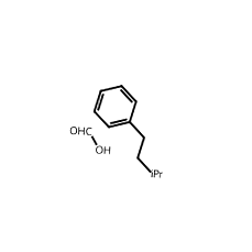 CC(C)CCc1ccccc1.O=CO